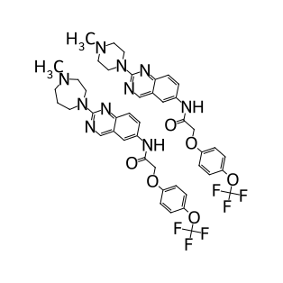 CN1CCCN(c2ncc3cc(NC(=O)COc4ccc(OC(F)(F)F)cc4)ccc3n2)CC1.CN1CCN(c2ncc3cc(NC(=O)COc4ccc(OC(F)(F)F)cc4)ccc3n2)CC1